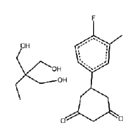 CCC(CO)(CO)CO.Cc1cc(C2CC(=O)CC(=O)C2)ccc1F